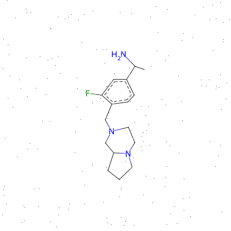 CC(N)c1ccc(CN2CCN3CCCC3C2)c(F)c1